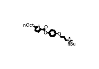 CCCCCCCCc1ccc(C(=O)Oc2ccc(OCCC[Si](C)(C)CCCC)cc2)s1